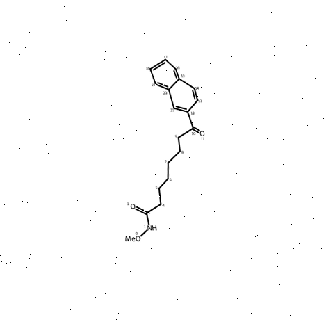 CONC(=O)CCCCCCC(=O)c1ccc2ccccc2c1